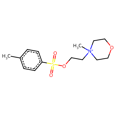 Cc1ccc(S(=O)(=O)OCC[N+]2(C)CCOCC2)cc1